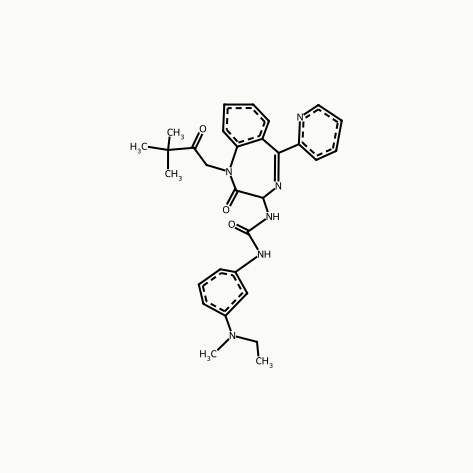 CCN(C)c1cccc(NC(=O)NC2N=C(c3ccccn3)c3ccccc3N(CC(=O)C(C)(C)C)C2=O)c1